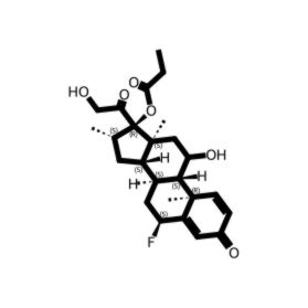 CCC(=O)O[C@]1(C(=O)CO)[C@@H](C)C[C@H]2[C@@H]3C[C@H](F)C4=CC(=O)C=C[C@]4(C)[C@H]3C(O)C[C@@]21C